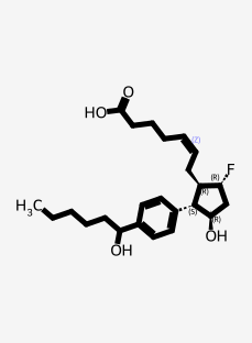 CCCCCC(O)c1ccc([C@@H]2[C@@H](C/C=C\CCCC(=O)O)[C@H](F)C[C@H]2O)cc1